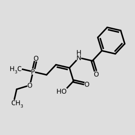 CCOP(C)(=O)CC=C(NC(=O)c1ccccc1)C(=O)O